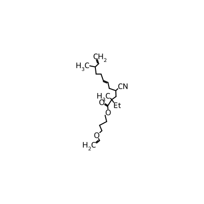 C=COCCCCOC(=O)C(C)(CC)CC(C#N)CC=CCCC(C)C=C